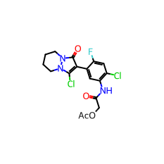 CC(=O)OCC(=O)Nc1cc(-c2c(Cl)n3n(c2=O)CCCC3)c(F)cc1Cl